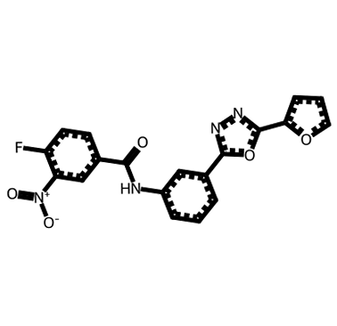 O=C(Nc1cccc(-c2nnc(-c3ccco3)o2)c1)c1ccc(F)c([N+](=O)[O-])c1